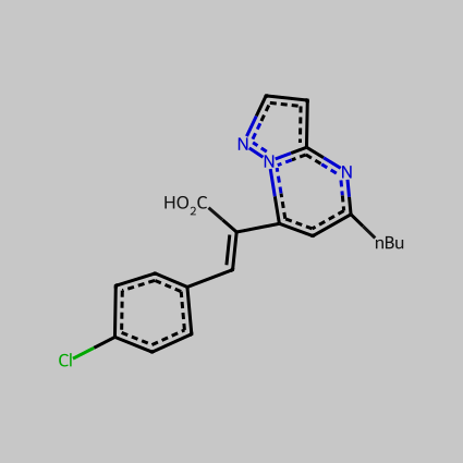 CCCCc1cc(/C(=C/c2ccc(Cl)cc2)C(=O)O)n2nccc2n1